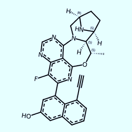 C#Cc1cccc2cc(O)cc(-c3nc4c5c(ncnc5c3F)N3C[C@H]5CC[C@H](N5)[C@H]3[C@H](C)O4)c12